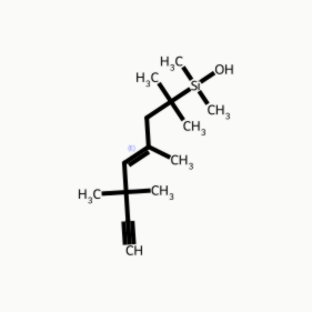 C#CC(C)(C)/C=C(\C)CC(C)(C)[Si](C)(C)O